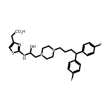 O=C(O)Cc1csc(NC(O)CN2CCN(CCCC(c3ccc(F)cc3)c3ccc(F)cc3)CC2)n1